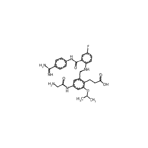 CC(C)Oc1cc(NC(=O)CN)cc(CNc2ccc(F)cc2C(=O)Nc2ccc(C(=N)N)cc2)c1CCC(=O)O